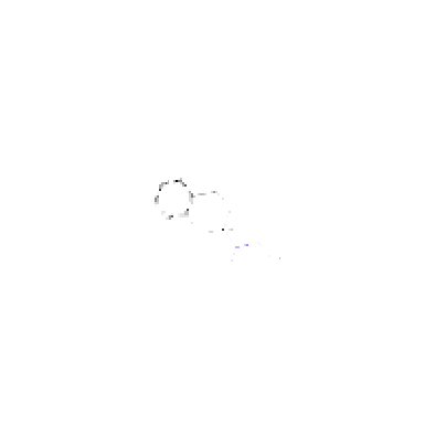 CCCN(C)[C@@H]1CCc2ccccc2C1